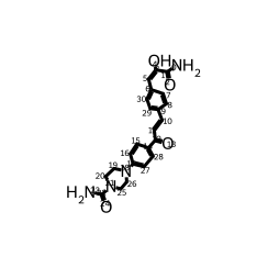 NC(=O)/C(O)=C\c1ccc(/C=C/C(=O)c2ccc(N3CCN(C(N)=O)CC3)cc2)cc1